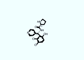 O=C(N[C@@H](c1ccncc1)c1c(O)ccc(Cl)c1Cl)[C@@H]1CCCN1